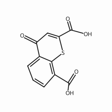 O=C(O)c1cc(=O)c2cccc(C(=O)O)c2s1